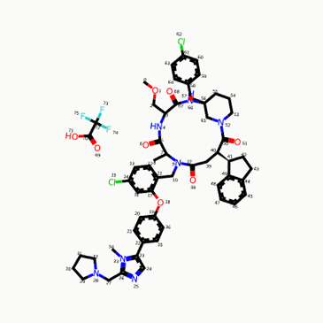 COCC1NC(=O)C(C)N(Cc2ccc(Cl)cc2Oc2ccc(-c3cnc(CN4CCCC4)n3C)cc2)C(=O)CC([C@H]2CCc3ccccc32)C(=O)N2CCCC(Cc3ccc(Cl)cc3)(C2)NC1=O.O=C(O)C(F)(F)F